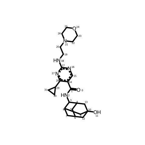 O=C(NC1C2CC3CC1CC(O)(C3)C2)c1cnc(NCCN2CCOCC2)nc1C1CC1